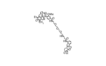 CC[C@@H]1C(=O)N(C)c2cnc(Nc3ccc(C(=O)NCCOCCOCCOCCNCCC(=O)Nc4cccc5c4CN(C4CCC(=O)NC4=O)C5=O)cc3OC)nc2N1Cc1ccc(Cl)s1